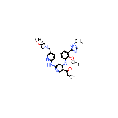 CCC(=O)c1cnc(Nc2ccc(CN3CC(OC)C3)cn2)cc1Nc1cccc(-c2ncn(C)n2)c1OC